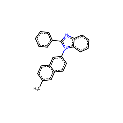 Cc1ccc2cc(-n3c(-c4ccccc4)nc4ccccc43)ccc2c1